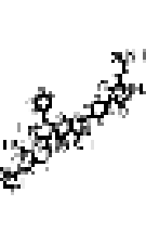 CC(=O)N(C(=O)C(N)CCC(N)=O)c1ccc(-c2ncc(C(=O)N(C(=O)C(N)c3ccccc3)C3C(=O)N4C(C(=O)O)=C(CSc5nnnn5C)CS[C@@H]34)c(O)n2)cc1